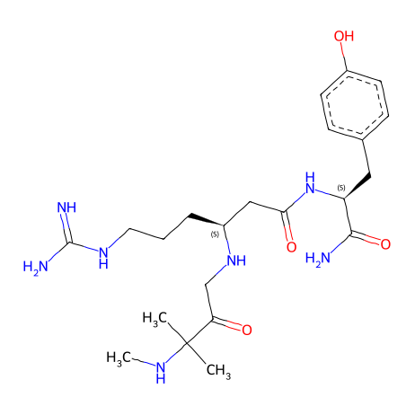 CNC(C)(C)C(=O)CN[C@@H](CCCNC(=N)N)CC(=O)N[C@@H](Cc1ccc(O)cc1)C(N)=O